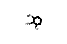 CCCc1cccc([As])c1CCC